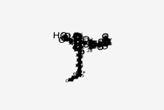 CCCC[N+](C)(C)CCCCCCCCOc1ccc2c(c1)c(C(=O)Oc1c(C)cc(C(=O)ON3C(=O)CCC3=O)cc1C)c1ccccc1[n+]2CCCS(=O)(=O)O